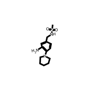 CS(=O)(=O)NCc1ccc(N2CCCCC2)c(N)c1